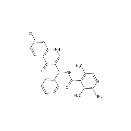 Cc1cnc(N)c(C)c1C(=O)NC(c1ccccc1)c1c[nH]c2cc(Cl)ccc2c1=O